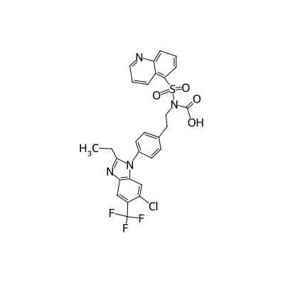 CCc1nc2cc(C(F)(F)F)c(Cl)cc2n1-c1ccc(CCN(C(=O)O)S(=O)(=O)c2cccc3ncccc23)cc1